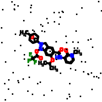 CC(C)Oc1cc2c(cc1C(=O)Nc1cccn(C)c1=O)CN(C13CCC(C)(CC1)OC3)N2OC(=O)C(F)(F)F